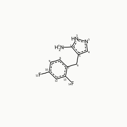 Nc1[nH]ncc1Cc1ccc(F)cc1F